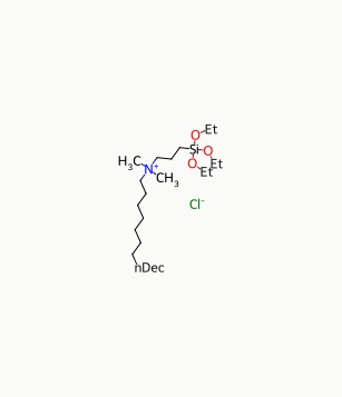 CCCCCCCCCCCCCCCCC[N+](C)(C)CCC[Si](OCC)(OCC)OCC.[Cl-]